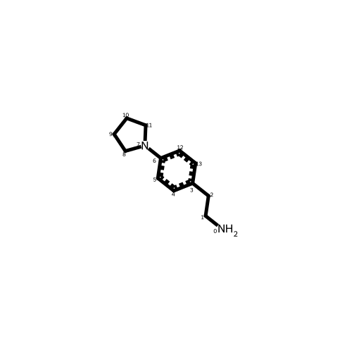 NCCc1ccc(N2C[CH]CC2)cc1